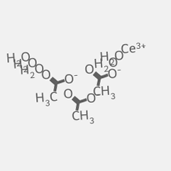 CC(=O)[O-].CC(=O)[O-].CC(=O)[O-].O.O.O.O.O.[Ce+3]